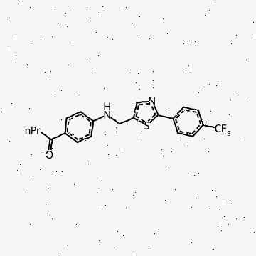 CCCC(=O)c1ccc(NCc2cnc(-c3ccc(C(F)(F)F)cc3)s2)cc1